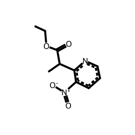 CCOC(=O)C(C)c1ncccc1[N+](=O)[O-]